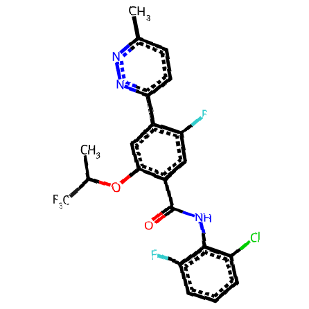 Cc1ccc(-c2cc(OC(C)C(F)(F)F)c(C(=O)Nc3c(F)cccc3Cl)cc2F)nn1